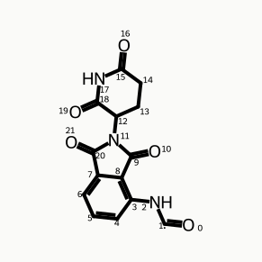 O=[C]Nc1cccc2c1C(=O)N(C1CCC(=O)NC1=O)C2=O